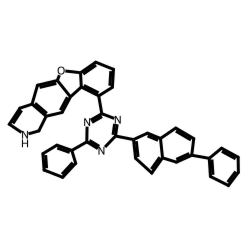 C1=Cc2cc3oc4cccc(-c5nc(-c6ccccc6)nc(-c6ccc7cc(-c8ccccc8)ccc7c6)n5)c4c3cc2CN1